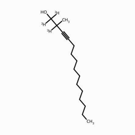 [2H]C([2H])(O)C([2H])(C)C#CCCCCCCCCCCC